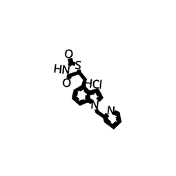 Cl.O=C1NC(=O)C(Cc2cccc3c2ccn3Cc2ccccn2)S1